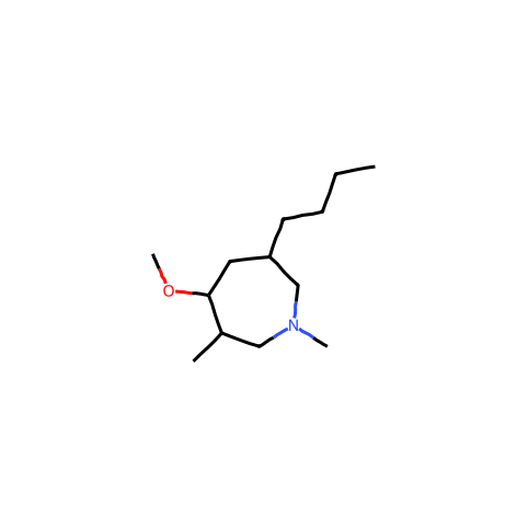 CCCCC1CC(OC)C(C)CN(C)C1